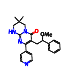 CO[C@H](Cc1c(-c2ccncc2)nc2n(c1=O)CC(C)(C)CN2)c1ccccc1